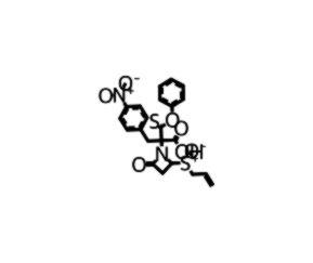 C=CC[S+]([O-])C1CC(=O)N1C(Cc1ccc([N+](=O)[O-])cc1)(C(=O)O)C(=S)Oc1ccccc1